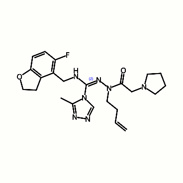 C=CCCN(/N=C(/NCc1c(F)ccc2c1CCO2)n1cnnc1C)C(=O)CN1CCCC1